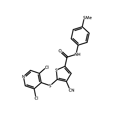 CSc1ccc(NC(=O)c2cc(C#N)c(Sc3c(Cl)cncc3Cl)s2)cc1